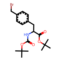 CC(C)(C)OC(=O)NC(Cc1ccc(CBr)cc1)C(=O)OC(C)(C)C